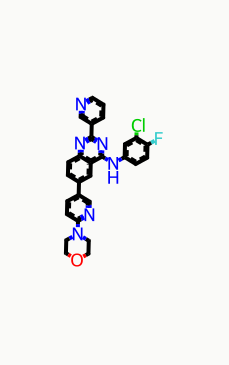 Fc1ccc(Nc2nc(-c3cccnc3)nc3ccc(-c4ccc(N5CCOCC5)nc4)cc23)cc1Cl